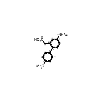 COc1ccc(-c2ccc(NC(C)=O)cc2CC(=O)O)cc1